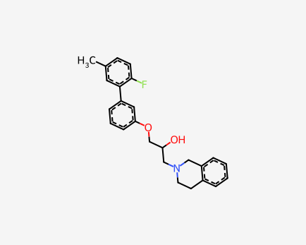 Cc1ccc(F)c(-c2cccc(OCC(O)CN3CCc4ccccc4C3)c2)c1